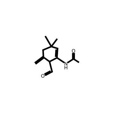 C=C1CC(C)(C)C=C(NC(C)=O)C1C=O